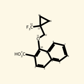 O=C(O)c1ccc2ccccc2c1OCC1(C(F)(F)F)CC1